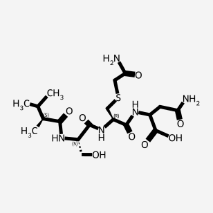 CC(C)[C@H](C)C(=O)N[C@@H](CO)C(=O)N[C@@H](CSCC(N)=O)C(=O)NC(CC(N)=O)C(=O)O